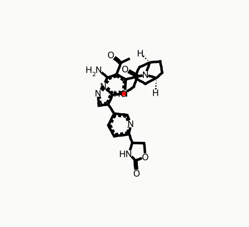 CC(=O)c1c(C2C[C@H]3CC[C@@H](C2)N3C(=O)CO)nc2c(-c3ccc(C4COC(=O)N4)nc3)cnn2c1N